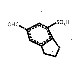 O=Cc1cc2c(c(S(=O)(=O)O)c1)CCC2